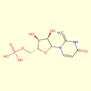 C=C1NC(=O)C=CN1C1O[C@H](COP(=O)(O)O)[C@@H](O)[C@H]1O